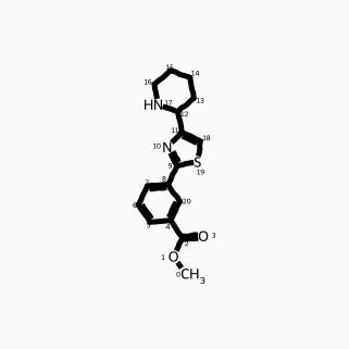 COC(=O)c1cccc(-c2nc(C3CCCCN3)cs2)c1